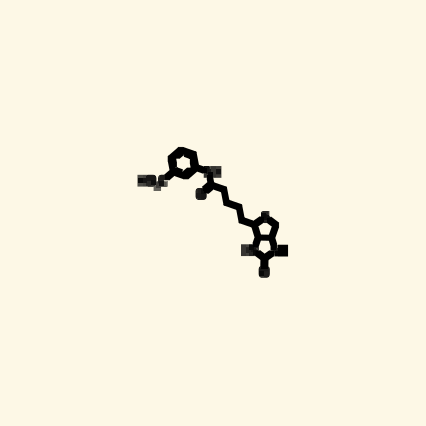 O=C(CCCCC1SCC2NC(=O)NC21)Nc1cccc(C(=O)O)c1